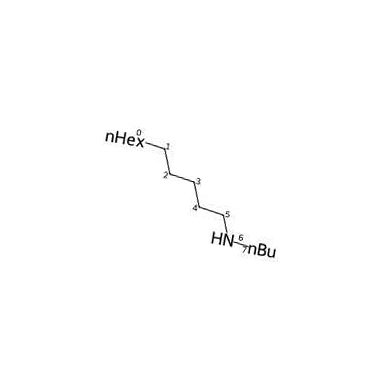 CCCCCCCCCCCNCCCC